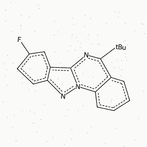 CC(C)(C)c1nc2c3cc(F)ccc3nn2c2ccccc12